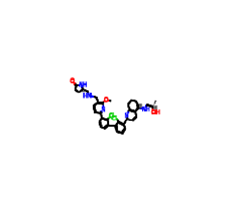 COc1nc(-c2cccc(-c3cccc(-c4ccc5c(n4)CCC[C@H]5NC[C@H](C)O)c3Cl)c2Cl)ccc1CNC[C@H]1CCC(=O)N1